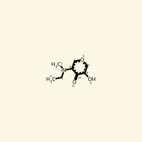 CCN(C)c1cocc(O)c1=O